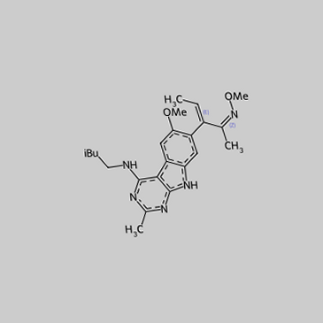 C/C=C(/C(C)=N\OC)c1cc2[nH]c3nc(C)nc(NCC(C)CC)c3c2cc1OC